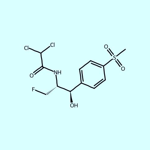 CS(=O)(=O)c1ccc([C@@H](O)[C@H](CF)NC(=O)C(Cl)Cl)cc1